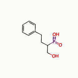 O=[PH](O)C(CO)CCc1ccccc1